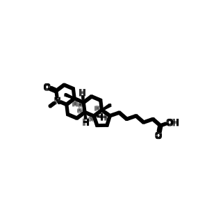 CN1C(=O)CC[C@@]2(C)C1CC[C@@H]1[C@H]2CC[C@]2(C)C(CCCCCC(=O)O)CC[C@@H]12